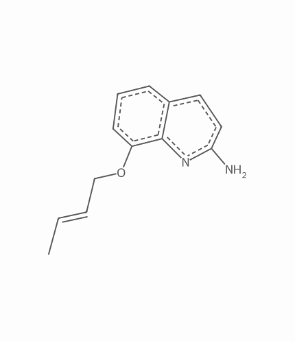 CC=CCOc1cccc2ccc(N)nc12